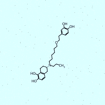 CCCN(CCCCCCOCCc1ccc(O)c(O)c1)[C@H]1CCc2c(ccc(O)c2O)C1